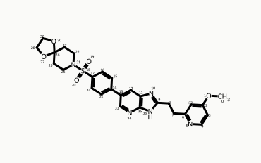 COc1ccnc(CCc2nc3cc(-c4ccc(S(=O)(=O)N5CCC6(CC5)OCCO6)cc4)cnc3[nH]2)c1